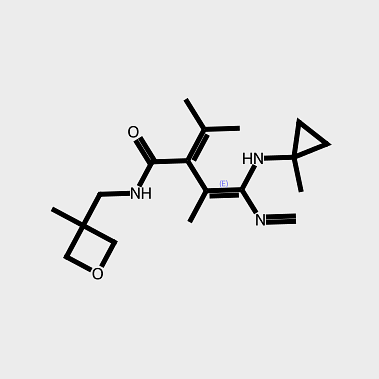 C=N/C(NC1(C)CC1)=C(\C)C(C(=O)NCC1(C)COC1)=C(C)C